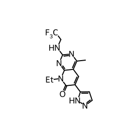 CCn1c(=O)c(-c2ccn[nH]2)cc2c(C)nc(NCC(F)(F)F)nc21